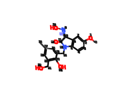 COc1ccc2c(c1)/C(=N/O)C(=O)N2Cc1cc(C)cc(CO)c1O